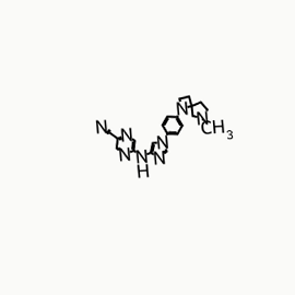 CN1CCC2(CCN2c2ccc(-n3cnc(Nc4cnc(C#N)cn4)c3)cc2)C1